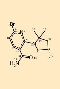 C[C@@H]1CN(c2nc(Br)ccc2C(N)=O)C(C)(C)C1